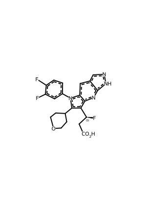 O=C(O)C[C@H](F)c1c(C2CCOCC2)n(-c2ccc(F)c(F)c2)c2cc3cn[nH]c3nc12